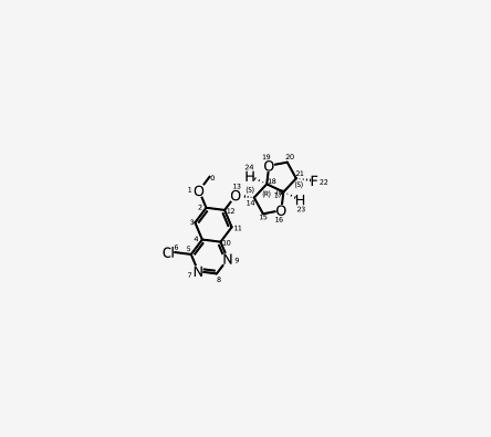 COc1cc2c(Cl)ncnc2cc1O[C@H]1CO[C@H]2[C@@H]1OC[C@@H]2F